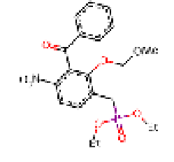 CCOP(=O)(Cc1ccc([N+](=O)[O-])c(C(=O)c2ccccc2)c1OCOC)OCC